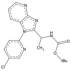 CC(NC(=O)OC(C)(C)C)c1nc2ncccc2n1-c1ccc(Cl)cn1